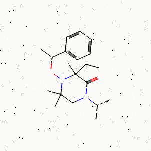 CCC1(C)C(=O)N(C(C)C)CC(C)(C)N1OC(C)c1ccccc1